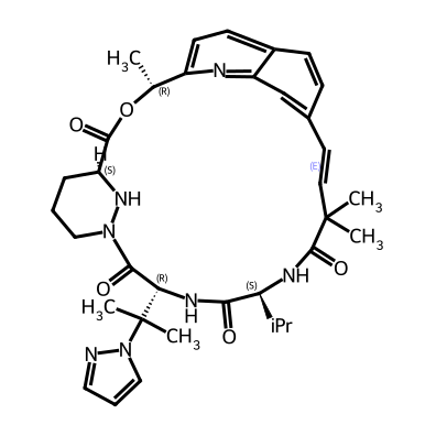 CC(C)[C@@H]1NC(=O)C(C)(C)/C=C/c2ccc3ccc(nc3c2)[C@@H](C)OC(=O)[C@@H]2CCCN(N2)C(=O)[C@@H](C(C)(C)n2cccn2)NC1=O